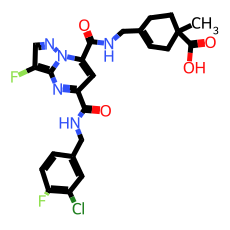 CC1(C(=O)O)CC=C(CNC(=O)c2cc(C(=O)NCc3ccc(F)c(Cl)c3)nc3c(F)cnn23)CC1